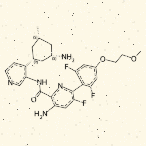 COCCOc1cc(F)c(-c2nc(C(=O)Nc3cnccc3[C@@H]3C[C@H](C)C[C@H](N)C3)c(N)cc2F)c(F)c1